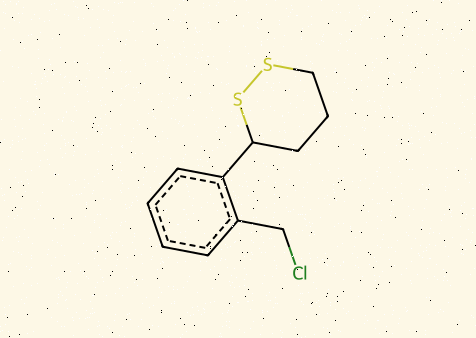 ClCc1ccccc1C1CCCSS1